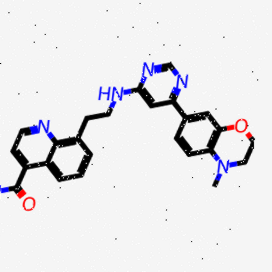 CNC(=O)c1ccnc2c(CCNc3cc(-c4ccc5c(c4)OCCN5C)ncn3)cccc12